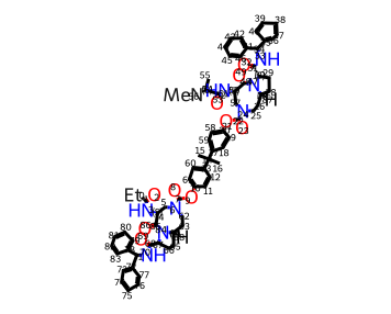 CCC(=O)N[C@H]1CN(C(=O)Oc2ccc(C(C)(C)c3ccc(OC(=O)N4CC[C@H]5CC[C@@H](C(=O)NC(c6ccccc6)c6ccccc6)N5C(=O)[C@@H](NC(=O)[C@H](C)NC)C4)cc3)cc2)CC[C@H]2CCC(C(=O)NC(c3ccccc3)c3ccccc3)N2C1=O